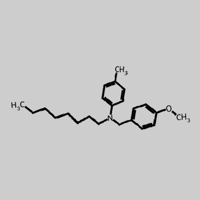 CCCCCCCCN(Cc1ccc(OC)cc1)c1ccc(C)cc1